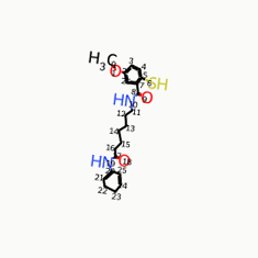 COc1ccc(S)c(C(=O)NCCCCCCC(=O)NC2=CCCC=C2)c1